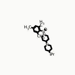 Cc1cc(C)c([Si](=O)N2CCC(N3CCC(C(C)C)CC3)CC2)c(C)c1